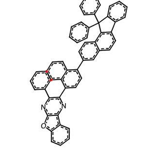 c1ccc(-c2nc3oc4ccccc4c3nc2-c2ccc(-c3ccc4c5c(ccc4c3)-c3ccccc3C5(c3ccccc3)c3ccccc3)c3ccccc23)cc1